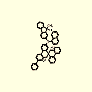 CC1(C)c2ccccc2-c2ccc(N(c3ccc4c(c3)C3(c5ccccc5-c5cccc6cccc3c56)c3cccc5c(-c6ccccc6)ccc-4c35)c3cccc4ccccc34)cc21